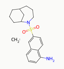 Nc1cccc2cc(S(=O)(=O)N3CCCC4CCCC3C4)ccc12.[CH2]